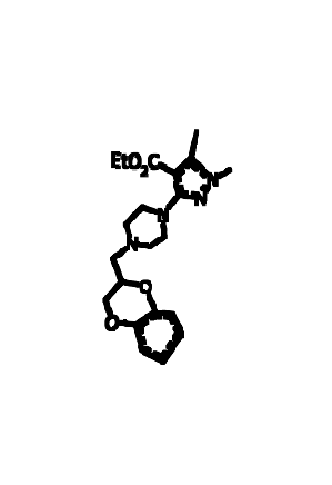 CCOC(=O)c1c(N2CCN(CC3COc4ccccc4O3)CC2)nn(C)c1C